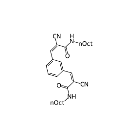 CCCCCCCCNC(=O)C(C#N)=Cc1cccc(C=C(C#N)C(=O)NCCCCCCCC)c1